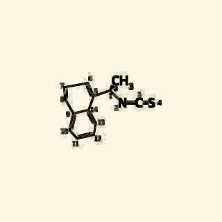 C[C@@H](N=C=S)c1cccc2ccccc12